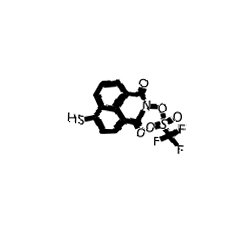 O=C1c2cccc3c(S)ccc(c23)C(=O)N1OS(=O)(=O)C(F)(F)F